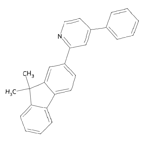 CC1(C)c2ccccc2-c2ccc(-c3cc(-c4ccccc4)ccn3)cc21